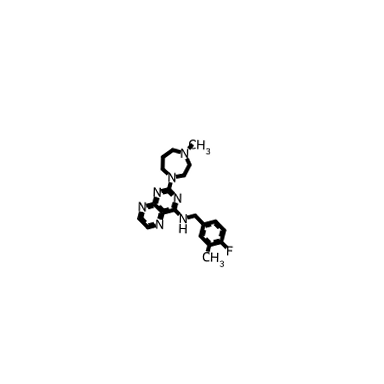 Cc1cc(CNc2nc(N3CCCN(C)CC3)nc3nccnc23)ccc1F